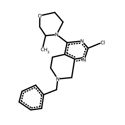 CC1COCCN1c1nc(Cl)nc2c1CCN(Cc1ccccc1)C2